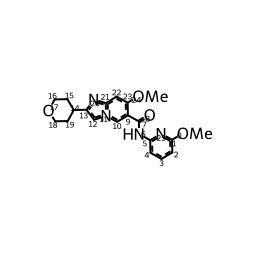 COc1cccc(NC(=O)c2cn3cc(C4CCOCC4)nc3cc2OC)n1